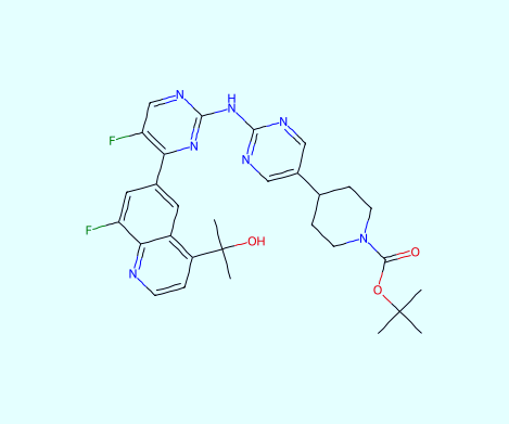 CC(C)(C)OC(=O)N1CCC(c2cnc(Nc3ncc(F)c(-c4cc(F)c5nccc(C(C)(C)O)c5c4)n3)nc2)CC1